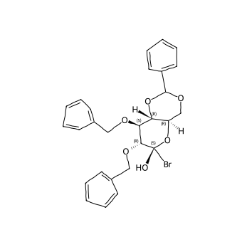 O[C@]1(Br)O[C@@H]2COC(c3ccccc3)O[C@H]2[C@H](OCc2ccccc2)[C@H]1OCc1ccccc1